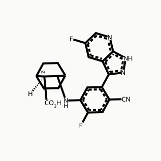 N#Cc1cc(F)c(NC2C3CCC(CC3)[C@@H]2C(=O)O)cc1-c1n[nH]c2ncc(F)cc12